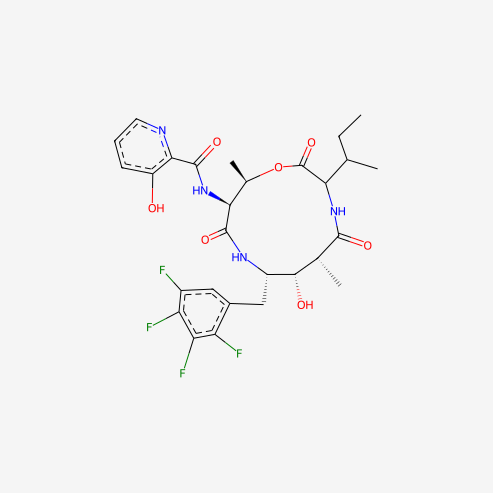 CCC(C)C1NC(=O)[C@H](C)[C@H](O)[C@H](Cc2cc(F)c(F)c(F)c2F)NC(=O)[C@@H](NC(=O)c2ncccc2O)[C@@H](C)OC1=O